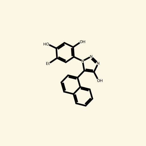 CCc1cc(-n2nnc(O)c2-c2cccc3ccccc23)c(O)cc1O